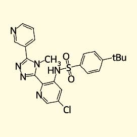 Cn1c(-c2cccnc2)nnc1-c1ncc(Cl)cc1NS(=O)(=O)c1ccc(C(C)(C)C)cc1